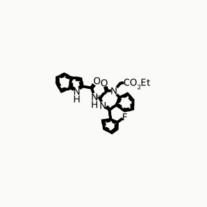 CCOC(=O)CN1C(=O)[C@@H](NC(=O)c2cc3ccccc3[nH]2)N=C(c2ccccc2F)c2ccccc21